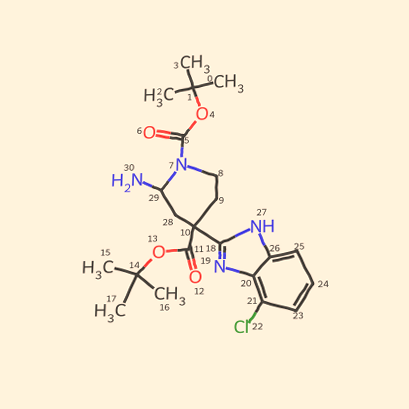 CC(C)(C)OC(=O)N1CCC(C(=O)OC(C)(C)C)(c2nc3c(Cl)cccc3[nH]2)CC1N